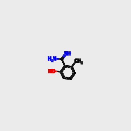 Cc1cccc(O)c1C(=N)N